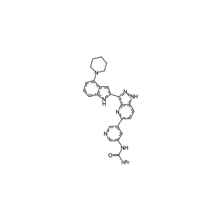 CCCC(=O)Nc1cncc(-c2ccc3[nH]nc(-c4cc5c(N6CCCCC6)cccc5[nH]4)c3n2)c1